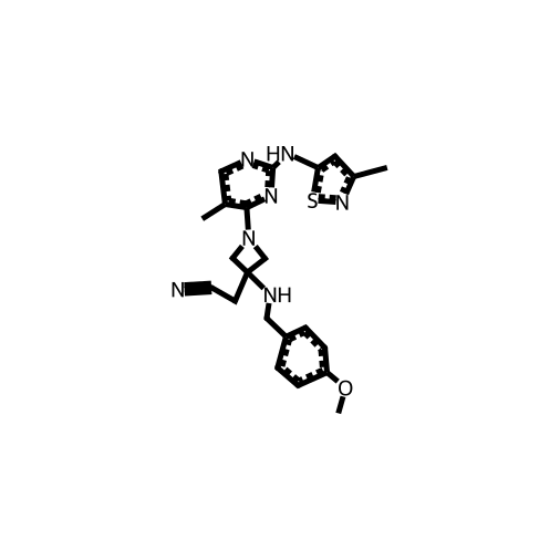 COc1ccc(CNC2(CC#N)CN(c3nc(Nc4cc(C)ns4)ncc3C)C2)cc1